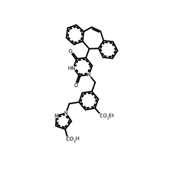 CCOC(=O)c1cc(Cn2cc(C(=O)O)cn2)cc(Cn2cc(C3c4ccccc4C=Cc4ccccc43)c(=O)[nH]c2=O)c1